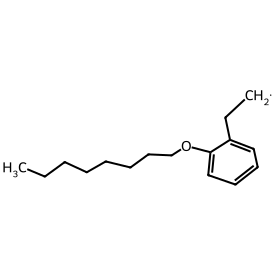 [CH2]Cc1ccccc1OCCCCCCCC